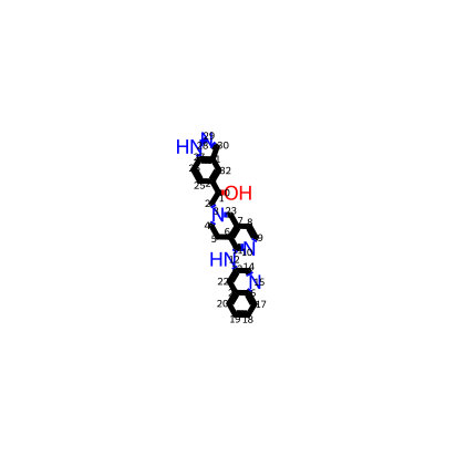 OC(CN1CCc2c(ccnc2Nc2cnc3ccccc3c2)C1)c1ccc2[nH]ncc2c1